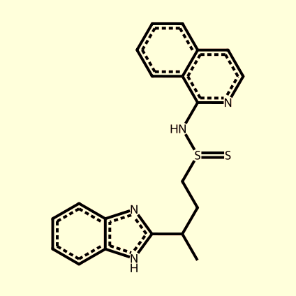 CC(CCS(=S)Nc1nccc2ccccc12)c1nc2ccccc2[nH]1